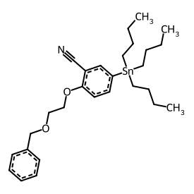 CCC[CH2][Sn]([CH2]CCC)([CH2]CCC)[c]1ccc(OCCOCc2ccccc2)c(C#N)c1